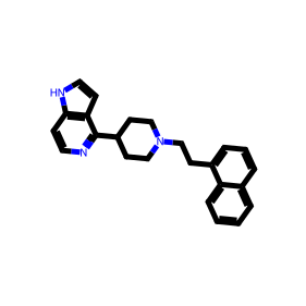 c1ccc2c(CCN3CCC(c4nccc5[nH]ccc45)CC3)cccc2c1